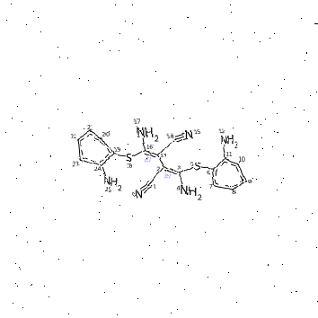 N#CC(=C(\N)Sc1ccccc1N)/C(C#N)=C(/N)Sc1ccccc1N